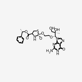 C[C@H](OC(=O)C1CS[P@@](=O)(OCCO[C@@H](n2cnc3c(=O)[nH]c(N)nc32)[C@](C)(O)CO)N1)c1ccccc1